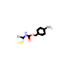 CCC(NC(=O)OCc1ccc([N+](=O)[O-])cc1)SS